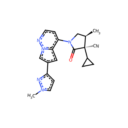 C[C@@H]1CN(c2ccnn3cc(-c4ccn(C)n4)cc23)C(=O)[C@]1(C#N)C1CC1